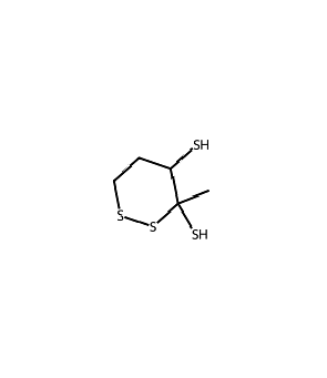 CC1(S)SSCCC1S